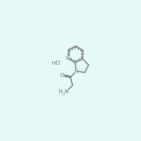 Cl.NCC(=O)N1CCc2cccnc21